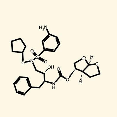 Nc1cccc(S(=O)(=O)N(C[C@H](O)C(Cc2ccccc2)NC(=O)O[C@H]2CO[C@H]3OCC[C@H]32)OC2CCCC2)c1